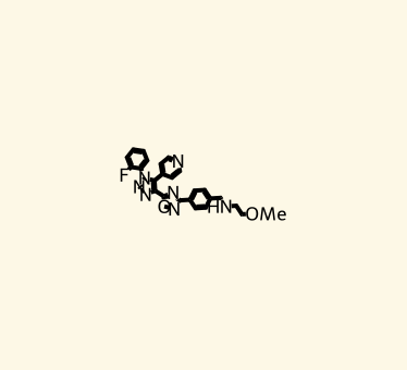 COCCNCc1ccc(-c2noc(-c3nnn(-c4ccccc4F)c3-c3ccncc3)n2)cc1